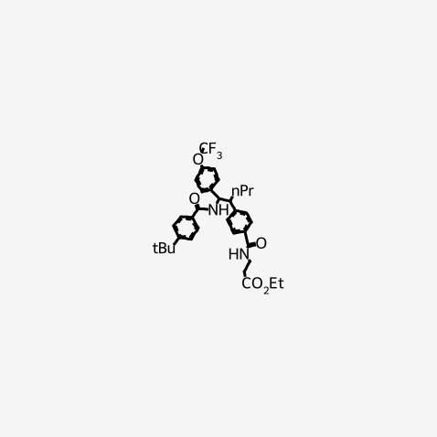 CCCC(c1ccc(C(=O)NCCC(=O)OCC)cc1)C(NC(=O)c1ccc(C(C)(C)C)cc1)c1ccc(OC(F)(F)F)cc1